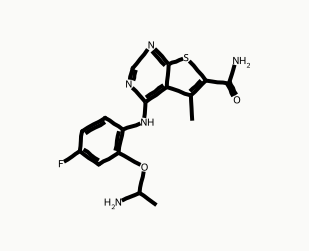 Cc1c(C(N)=O)sc2ncnc(Nc3ccc(F)cc3OC(C)N)c12